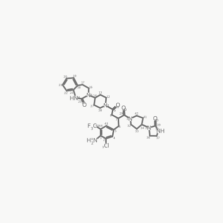 Nc1c(Cl)cc(CC(CC(=O)N2CCC(N3CCc4ccccc4NC3=O)CC2)C(=O)N2CCC(N3CCNC3=O)CC2)cc1C(F)(F)F